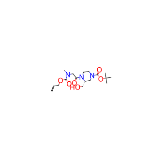 C=CCOC(=O)N(C)CC(=O)N1CCN(C(=O)OC(C)(C)C)C[C@@H]1CO